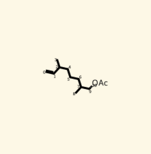 C=CC(C)CCCC(C)COC(C)=O